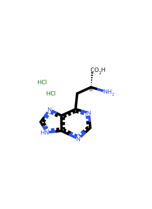 Cl.Cl.N[C@H](Cc1ncnc2[nH]cnc12)C(=O)O